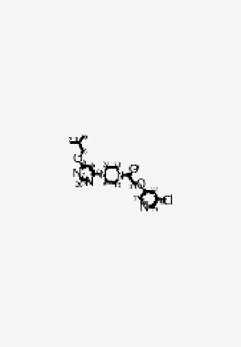 CC(C)COc1cc(N2CCN(C(=O)COc3cncc(Cl)c3)CC2)ncn1